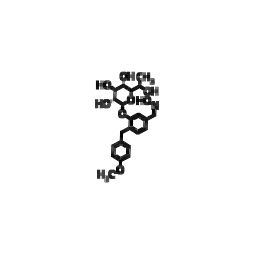 COc1ccc(Cc2ccc(/C=N\O)cc2O[C@@H]2O[C@H]([C@@H](C)O)[C@@H](O)[C@H](O)[C@H]2O)cc1